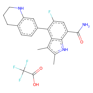 Cc1[nH]c2c(C(N)=O)cc(F)c(-c3ccc4c(c3)NCCC4)c2c1C.O=C(O)C(F)(F)F